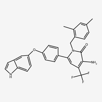 Cc1ccc(Cn2c(-c3ccc(Oc4ccc5[nH]ccc5c4)cc3)cc(C(F)(F)F)c(N)c2=O)c(C)c1